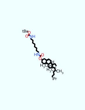 CC(C)CCC[C@@H](C)[C@H]1CC[C@H]2[C@@H]3CC=C4C[C@@H](OC(=O)NCCCCCCCCNC(=O)OC(C)(C)C)CC[C@]4(C)C3CC[C@]12C